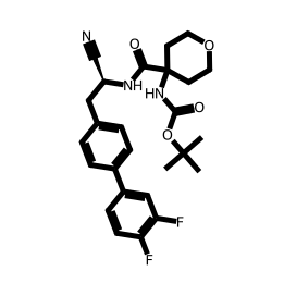 CC(C)(C)OC(=O)NC1(C(=O)N[C@H](C#N)Cc2ccc(-c3ccc(F)c(F)c3)cc2)CCOCC1